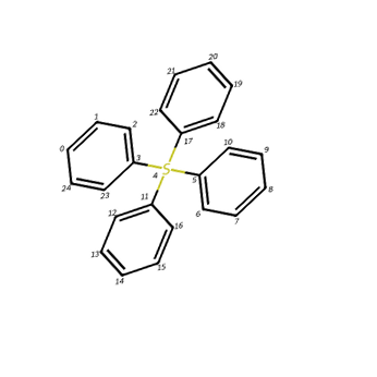 c1ccc(S(c2ccccc2)(c2ccccc2)c2ccccc2)cc1